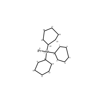 CC(C)[N+](C1CCCCC1)(C1CCCCC1)C1CCCCC1